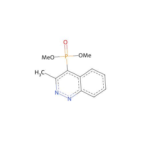 COP(=O)(OC)c1c(C)nnc2ccccc12